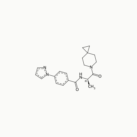 C[C@@H](NC(=O)c1ccc(-n2cccn2)cc1)C(=O)N1CCC2(CC1)CC2